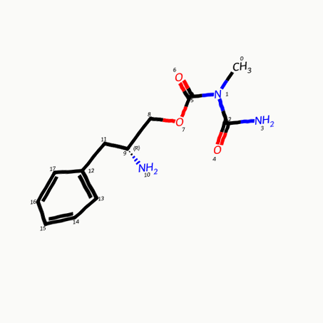 CN(C(N)=O)C(=O)OC[C@H](N)Cc1ccccc1